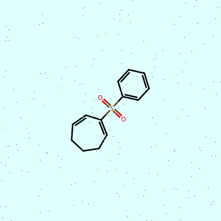 O=S(=O)(C1=CCCCC=C1)c1ccccc1